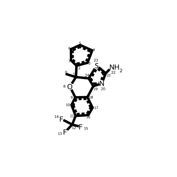 CC1(c2ccccc2)Oc2cc(C(F)(F)F)ccc2-c2nc(N)sc21